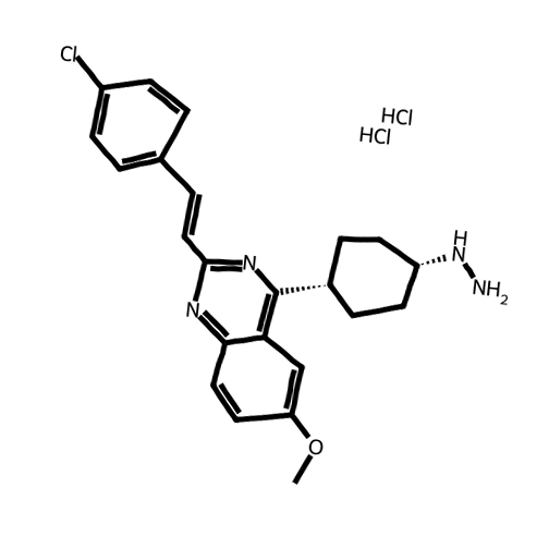 COc1ccc2nc(C=Cc3ccc(Cl)cc3)nc([C@H]3CC[C@@H](NN)CC3)c2c1.Cl.Cl